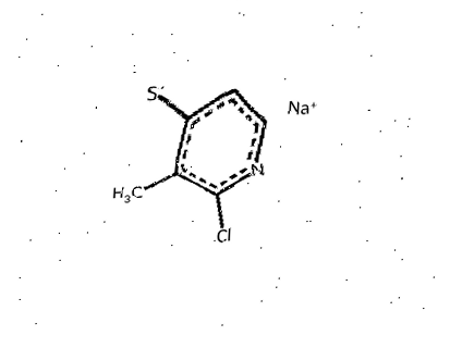 Cc1c([S-])ccnc1Cl.[Na+]